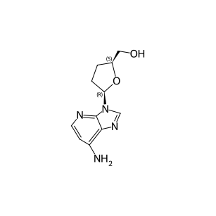 Nc1ccnc2c1ncn2[C@H]1CC[C@@H](CO)O1